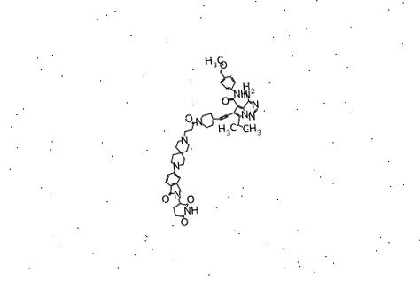 COCc1ccc(NC(=O)c2c(C#CC3CCN(C(=O)CCN4CCC5(CC4)CCN(c4ccc6c(c4)CN(C4CCC(=O)NC4=O)C6=O)CC5)CC3)c(C(C)C)n3ncnc(N)c23)cc1